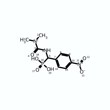 CN(C)C(=O)NC(c1ccc([N+](=O)[O-])cc1)P(=O)(O)O